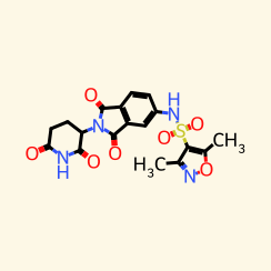 Cc1noc(C)c1S(=O)(=O)Nc1ccc2c(c1)C(=O)N(C1CCC(=O)NC1=O)C2=O